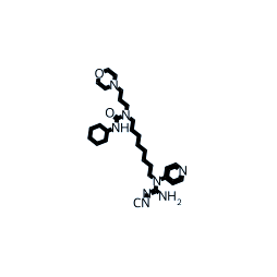 N#CN=C(N)N(CCCCCCCCN(CCCN1CCOCC1)C(=O)NC1CCCCC1)c1ccncc1